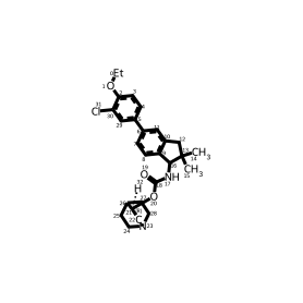 CCOc1ccc(-c2ccc3c(c2)CC(C)(C)C3NC(=O)O[C@H]2CN3CCC2CC3)cc1Cl